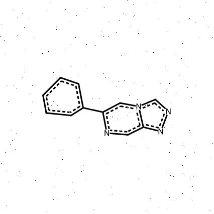 c1ccc(-c2cn3cnnc3cn2)cc1